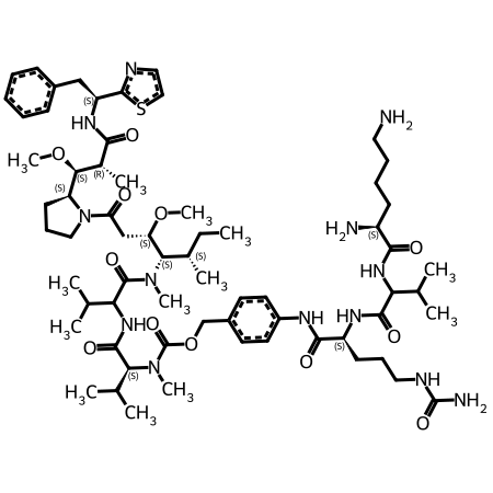 CC[C@H](C)[C@@H]([C@H](CC(=O)N1CCC[C@H]1[C@@H](OC)[C@@H](C)C(=O)N[C@@H](Cc1ccccc1)c1nccs1)OC)N(C)C(=O)C(NC(=O)[C@H](C(C)C)N(C)C(=O)OCc1ccc(NC(=O)[C@H](CCCNC(N)=O)NC(=O)C(NC(=O)[C@@H](N)CCCCN)C(C)C)cc1)C(C)C